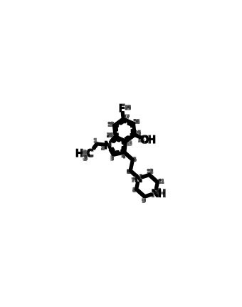 CCn1cc(CCN2CCNCC2)c2c(O)cc(F)cc21